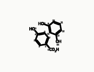 O=C(O)c1ccc(O)cc1.Oc1cccc(O)c1